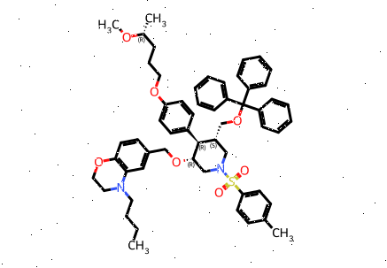 CCCCN1CCOc2ccc(CO[C@H]3CN(S(=O)(=O)c4ccc(C)cc4)C[C@@H](COC(c4ccccc4)(c4ccccc4)c4ccccc4)[C@@H]3c3ccc(OCCC[C@@H](C)OC)cc3)cc21